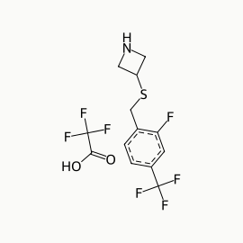 Fc1cc(C(F)(F)F)ccc1CSC1CNC1.O=C(O)C(F)(F)F